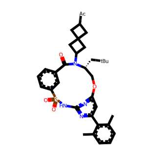 CC(=O)C1CC2(C1)CC(N1C(=O)c3cccc(c3)S(=O)(=O)Nc3nc(cc(-c4c(C)cccc4C)n3)OC[C@H]1CC(C)(C)C)C2